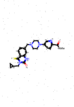 CNC(=O)c1ccc(N2CCN(Cc3ccc4c(=S)n(CC5CC5)c(=O)[nH]c4c3)CC2)cn1